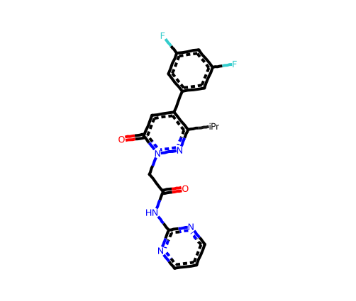 CC(C)c1nn(CC(=O)Nc2ncccn2)c(=O)cc1-c1cc(F)cc(F)c1